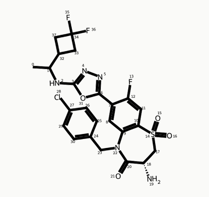 CC(Nc1nnc(-c2cc3c(cc2F)S(=O)(=O)C[C@H](N)C(=O)N3Cc2ccc(Cl)cc2)o1)C1CC(F)(F)C1